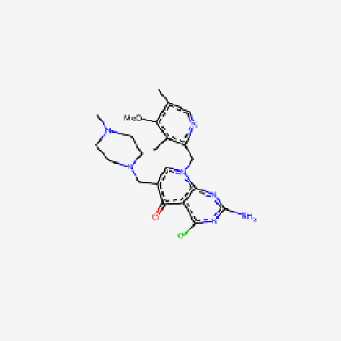 COc1c(C)cnc(Cn2cc(CN3CCN(C)CC3)c(=O)c3c(Cl)nc(N)nc32)c1C